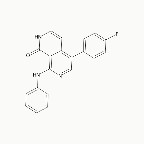 O=c1[nH]ccc2c(-c3ccc(F)cc3)cnc(Nc3ccccc3)c12